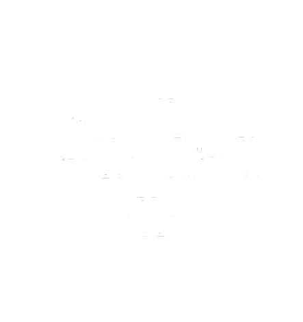 CC(C)(C)c1ccc(-c2ccccc2CO[SiH](c2ccccc2)c2ccccc2)cc1Br